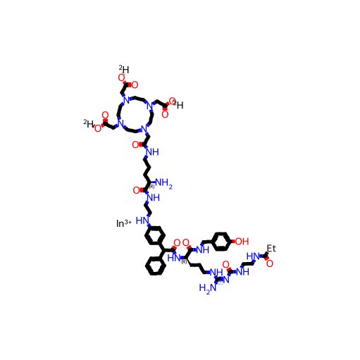 [2H]OC(=O)CN1CCN(CC(=O)NCCC[C@@H](N)C(=O)NCCNc2ccc(C(C(=O)N[C@H](CCCN/C(N)=N\C(=O)NCCNC(=O)CC)C(=O)NCc3ccc(O)cc3)c3ccccc3)cc2)CCN(CC(=O)O[2H])CCN(CC(=O)O[2H])CC1.[In+3]